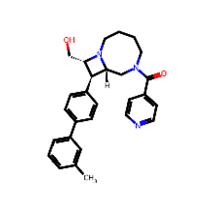 Cc1cccc(-c2ccc([C@@H]3[C@H]4CN(C(=O)c5ccncc5)CCCCN4[C@H]3CO)cc2)c1